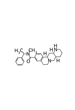 C[C@H](c1ccccc1)N(C)C(=O)c1ccc2c(c1)CCN1C[C@@H]3CCCN[C@@H]3C[C@H]21